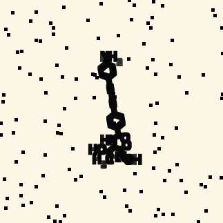 CC(O)[C@H](NC(=O)c1ccc(C#CC#Cc2ccc(N)cc2)cc1)C(=O)NO